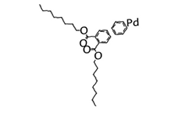 CCCCCCCCOC(=O)c1ccccc1C(=O)OCCCCCCCC.[Pd].c1ccccc1